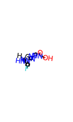 Cc1nc(N2CC[C@H](C(=O)NCCO)C2)ncc1-n1c2ccc(F)cc2c2[nH]ncc21